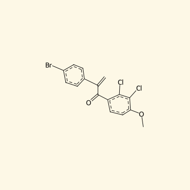 C=C(C(=O)c1ccc(OC)c(Cl)c1Cl)c1ccc(Br)cc1